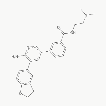 CN(C)CCNC(=O)c1cccc(-c2cnc(N)c(-c3ccc4c(c3)CCO4)c2)c1